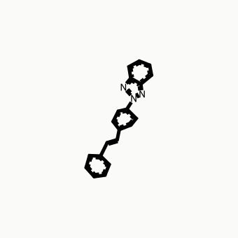 C(=Cc1ccc(-n2nc3ccccc3n2)cc1)c1ccccc1